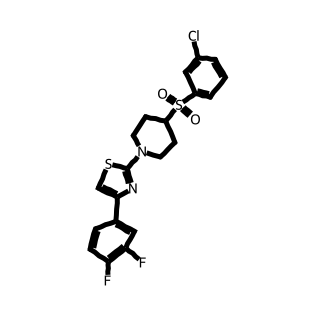 O=S(=O)(c1cccc(Cl)c1)C1CCN(c2nc(-c3ccc(F)c(F)c3)cs2)CC1